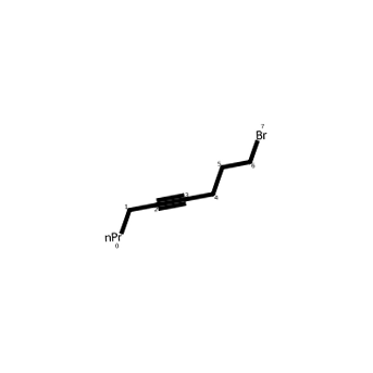 CCCCC#CCCCBr